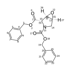 O=C(OCc1ccccc1)[C@@H]1[C@H]2O[C@H]2CN1C(=O)OCc1ccccc1